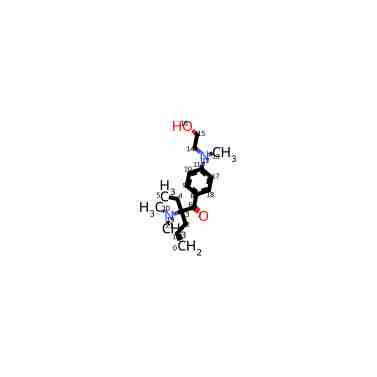 C=CCC(CC)(C(=O)c1ccc(N(C)CCO)cc1)N(C)C